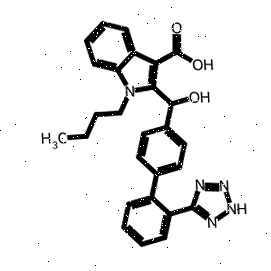 CCCCn1c(C(O)c2ccc(-c3ccccc3-c3nn[nH]n3)cc2)c(C(=O)O)c2ccccc21